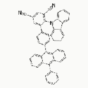 N#Cc1cc(C#N)c(-n2c3ccccc3c3ccccc32)c(-c2ccc(-c3c4ccccc4c(-c4ccccc4)c4ccccc34)cc2)c1